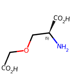 N[C@@H](COCC(=O)O)C(=O)O